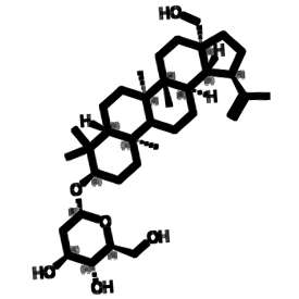 C=C(C)[C@@H]1CC[C@]2(CO)CC[C@]3(C)[C@H](CCC4[C@@]5(C)CC[C@@H](O[C@H]6C[C@H](O)[C@@H](O)[C@H](CO)O6)C(C)(C)[C@@H]5CC[C@]43C)[C@@H]12